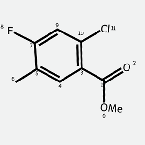 COC(=O)c1cc(C)c(F)cc1Cl